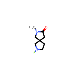 CN1CC2(CCN(F)C2)CC1=O